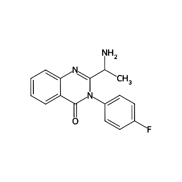 CC(N)c1nc2ccccc2c(=O)n1-c1ccc(F)cc1